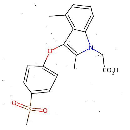 Cc1cccc2c1c(Oc1ccc(S(C)(=O)=O)cc1)c(C)n2CC(=O)O